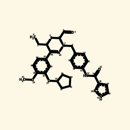 CCC1SC(C=O)N(Cc2ccc(NC(=O)c3cc[nH]n3)cc2)N=C1c1ccc(OC)c(OC2CCCC2)c1